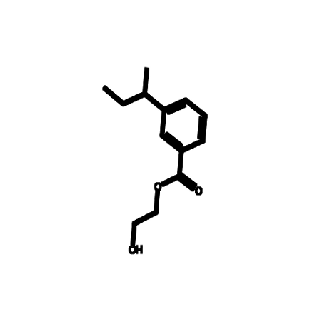 CCC(C)c1cccc(C(=O)OCCO)c1